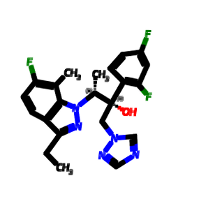 CCc1nn([C@H](C)[C@](O)(Cn2cncn2)c2ccc(F)cc2F)c2c(C)c(F)ccc12